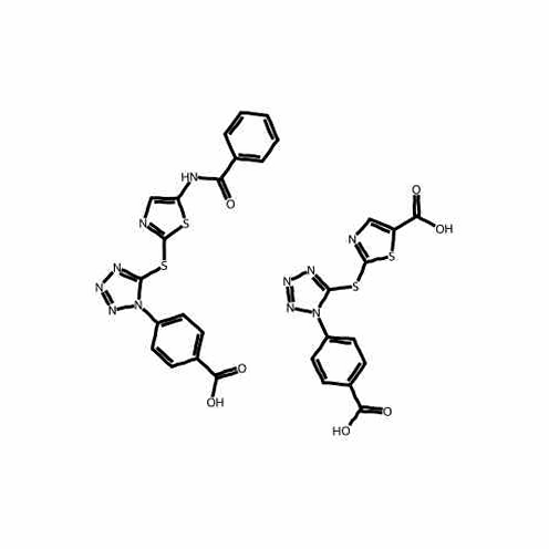 O=C(O)c1ccc(-n2nnnc2Sc2ncc(C(=O)O)s2)cc1.O=C(O)c1ccc(-n2nnnc2Sc2ncc(NC(=O)c3ccccc3)s2)cc1